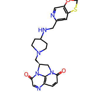 O=c1ccc2ncc(=O)n3c2n1C[C@@H]3CN1CCC(NCc2cc3c(cn2)OCS3)CC1